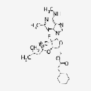 CNc1nc(C)nc2c1ncn2[C@@H]1O[C@H](COC(=O)CC2CCCCC2)[C@@H](OC(=O)CC(C)C)[C@@]1(C)F